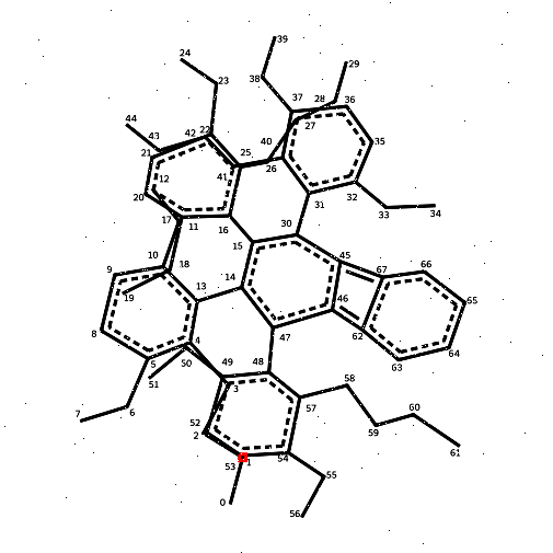 CCCCc1c(CC)ccc(CC)c1-c1c(-c2c(CC)ccc(CC)c2CCCC)c(-c2c(CC)ccc(CC)c2CCCC)c2c(c1-c1c(CC)ccc(CC)c1CCCC)=c1ccccc1=2